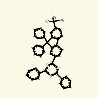 CC(C)(C)c1ccc2c(c1)C(c1ccccc1)(c1ccccc1)c1cc(-c3nc(-c4ccccc4)nc(-c4ccccc4)n3)ccc1-2